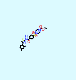 CCOC(=O)N1CCN(S(=O)(=O)c2ccc(C(=O)Nc3nc(-c4ccc(C)cc4C)cs3)cc2)CC1